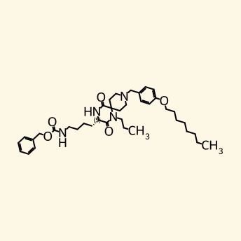 CCCCCCCCOc1ccc(CN2CCC3(CC2)C(=O)N[C@@H](CCCCNC(=O)OCc2ccccc2)C(=O)N3CCC)cc1